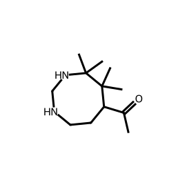 CC(=O)C1CCNCNC(C)(C)C1(C)C